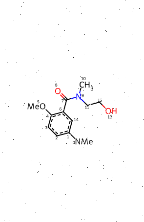 CNc1ccc(OC)c(C(=O)N(C)CCO)c1